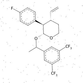 C=C[C@@H]1CCO[C@H](OC(C)c2cc(C(F)(F)F)cc(C(F)(F)F)c2)[C@H]1c1ccc(F)cc1